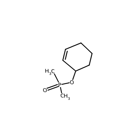 CP(C)(=O)OC1C=CCCC1